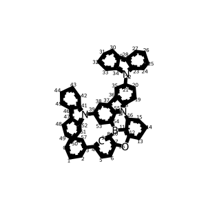 c1ccc(-c2ccc3c(c2)B2c4c(cccc4-n4c5ccc(-n6c7ccccc7c7ccccc76)cc5c5cc(-n6c7ccccc7c7ccccc76)cc2c54)O3)cc1